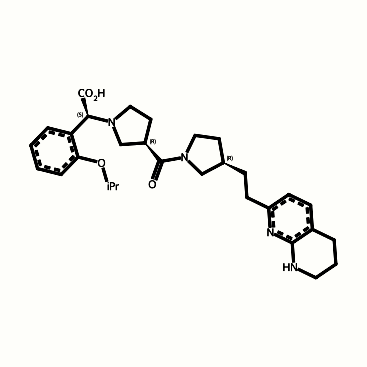 CC(C)Oc1ccccc1[C@@H](C(=O)O)N1CC[C@@H](C(=O)N2CC[C@@H](CCc3ccc4c(n3)NCCC4)C2)C1